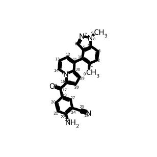 Cc1ccc2c(cnn2C)c1-c1cccn2c(C(=O)c3ccc(N)c(C#N)c3)ccc12